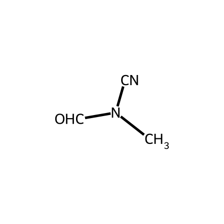 CN(C#N)C=O